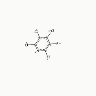 Fc1c(Cl)nc(Cl)c(Cl)c1Cl